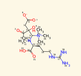 CC(=O)C(O)(CC(=O)[O-])C(N(C)[C@@H](CCCNC(=N)N)C(=O)O)[N+](C)(C)C